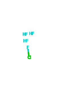 F.F.F.FCl